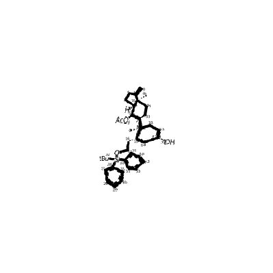 C=C1CC[C@@H]2[C@H](OC(C)=O)[C@H]([C@@]3(C)CC[C@H](O)C[C@@H]3CCO[Si](c3ccccc3)(c3ccccc3)C(C)(C)C)CC[C@]12C